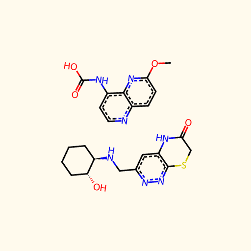 COc1ccc2nccc(NC(=O)O)c2n1.O=C1CSc2nnc(CN[C@@H]3CCCC[C@H]3O)cc2N1